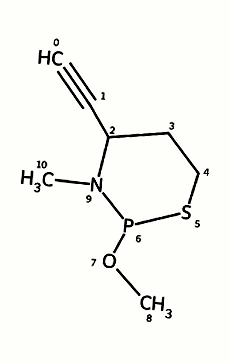 C#CC1CCSP(OC)N1C